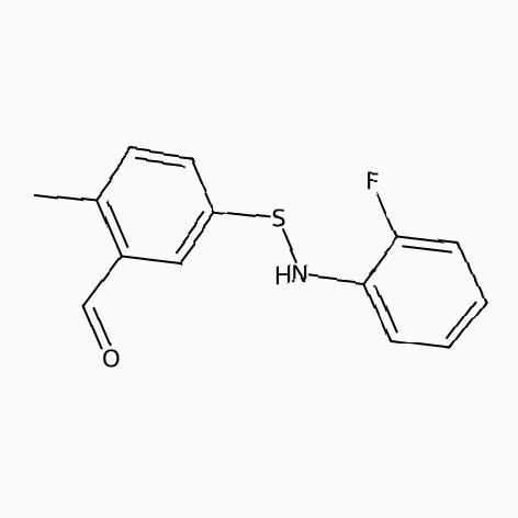 Cc1ccc(SNc2ccccc2F)cc1C=O